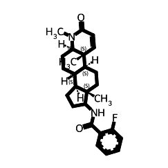 CN1C(=O)C=C[C@]2(C)[C@H]3CC[C@]4(C)C(NC(=O)c5ccccc5F)CC[C@H]4[C@@H]3CC[C@@H]12